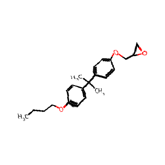 CCCCOc1ccc(C(C)(C)c2ccc(OCC3CO3)cc2)cc1